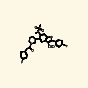 CN(c1cc2oc(-c3ccc(F)cc3)c(C=O)c2cc1C1CCCN(C(=O)Cc2ccc(F)cc2)C1)S(C)(=O)=O